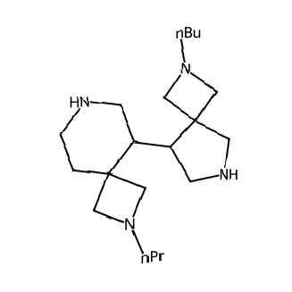 CCCCN1CC2(CNCC2C2CNCCC23CN(CCC)C3)C1